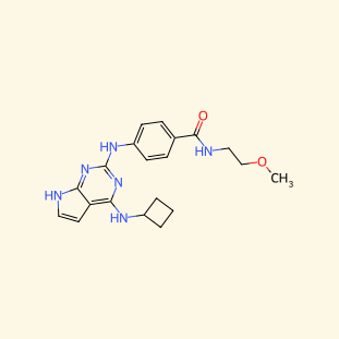 COCCNC(=O)c1ccc(Nc2nc(NC3CCC3)c3cc[nH]c3n2)cc1